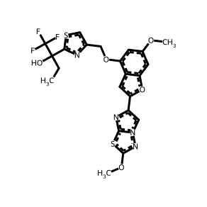 CCC(O)(c1nc(COc2cc(OC)cc3oc(-c4cn5nc(OC)sc5n4)cc23)cs1)C(F)(F)F